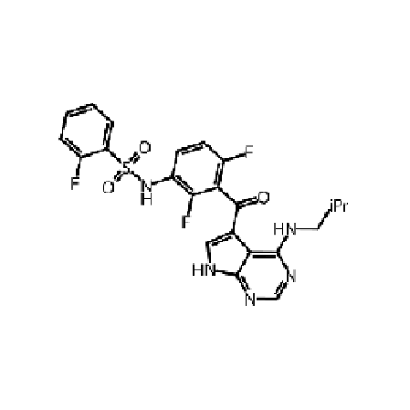 CC(C)CNc1ncnc2[nH]cc(C(=O)c3c(F)ccc(NS(=O)(=O)c4ccccc4F)c3F)c12